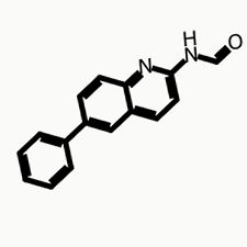 O=CNc1ccc2cc(-c3ccccc3)ccc2n1